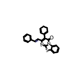 O=c1c(C2=CCCC=C2)c(/C=C/c2ccccc2)nc2sc3ccccc3n12